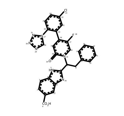 O=C(O)c1ccc2[nH]c(C(Cc3ccccc3)n3cc(F)c(-c4cc(Cl)ccc4-n4cnnn4)cc3=O)nc2c1